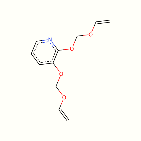 C=COCOc1cccnc1OCOC=C